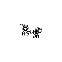 OC(C=CC1C[C@H]2[C@@H](CC23OCCO3)C1O)c1ccc(Cl)cc1